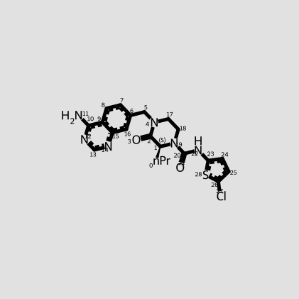 CCC[C@H]1C(=O)N(Cc2ccc3c(N)ncnc3c2)CCN1C(=O)Nc1ccc(Cl)s1